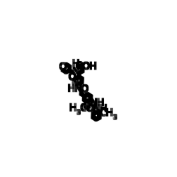 COc1cc(CC(=O)Nc2ccc(C(CC(=O)O)NC(=O)C3CCOCC3)cn2)ccc1NC(=O)Nc1ccccc1C